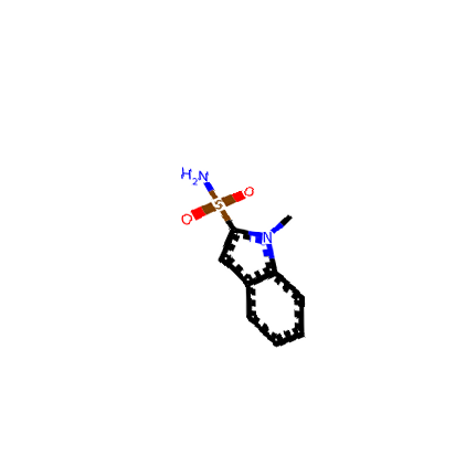 Cn1c(S(N)(=O)=O)cc2ccccc21